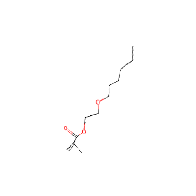 C=C(C)C(=O)OCCOCCCCCC